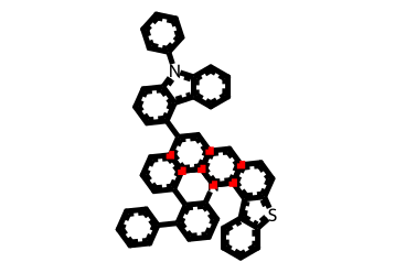 c1ccc(-c2ccccc2-c2c(-c3ccccc3)cccc2N(c2ccc(-c3cccc4c3c3ccccc3n4-c3ccccc3)cc2)c2cccc3sc4ccccc4c23)cc1